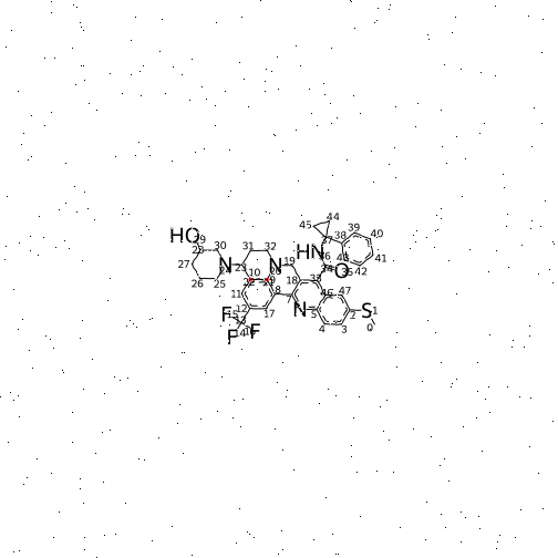 CSc1ccc2nc(-c3cccc(C(F)(F)F)c3)c(CN3CCC(N4CCCC(O)C4)CC3)c(C(=O)NC3(c4ccccc4)CC3)c2c1